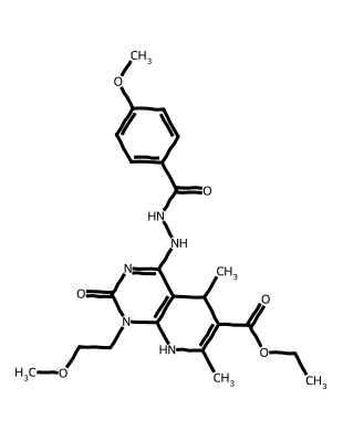 CCOC(=O)C1=C(C)Nc2c(c(NNC(=O)c3ccc(OC)cc3)nc(=O)n2CCOC)C1C